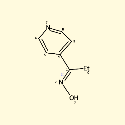 CC/C(=N\O)c1ccncc1